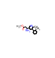 COC(=O)CC(N)c1cnc(C)c(-c2ccccc2C)c1